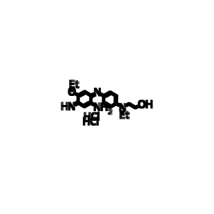 CCOC1=CC(=Nc2ccc(N(CC)CCO)cc2)C(N)=CC1=N.Cl.Cl